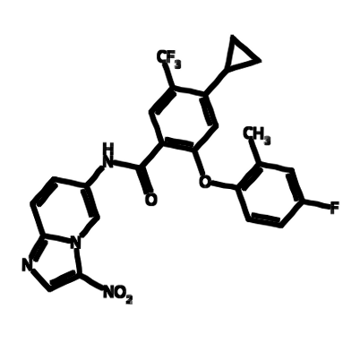 Cc1cc(F)ccc1Oc1cc(C2CC2)c(C(F)(F)F)cc1C(=O)Nc1ccc2ncc([N+](=O)[O-])n2c1